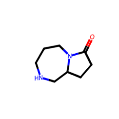 O=C1CCC2CNCCCN12